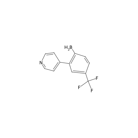 Bc1ccc(C(F)(F)F)cc1-c1ccncc1